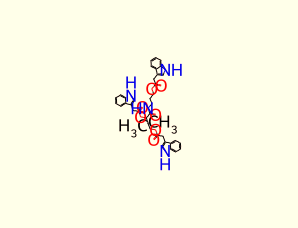 CC(C)(COC(=O)Cc1c[nH]c2ccccc12)C(OC(=O)Cc1c[nH]c2ccccc12)C(=O)NCCCOC(=O)Cc1c[nH]c2ccccc12